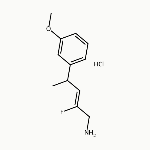 COc1cccc(C(C)C=C(F)CN)c1.Cl